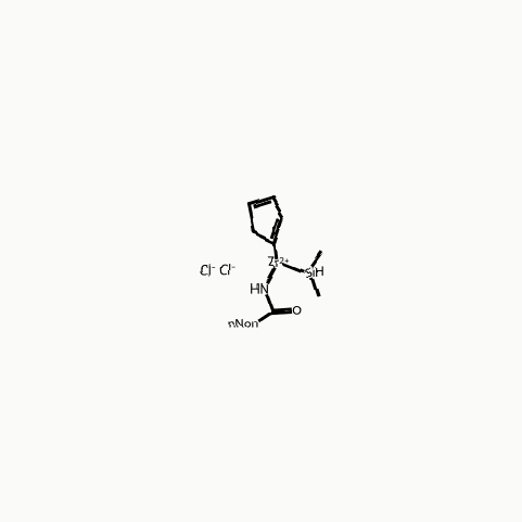 CCCCCCCCCC(=O)[NH][Zr+2]([C]1=CC=CC1)[SiH](C)C.[Cl-].[Cl-]